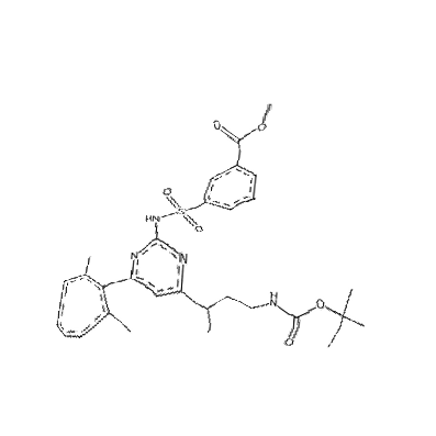 COC(=O)c1cccc(S(=O)(=O)Nc2nc(-c3c(C)cccc3C)cc(C(C)CCNC(=O)OC(C)(C)C)n2)c1